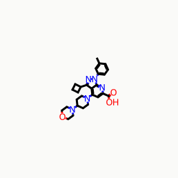 Cc1cccc(-n2nc(C3CCC3)c3c(N4CCC(N5CCOCC5)CC4)cc(C(=O)O)nc32)c1